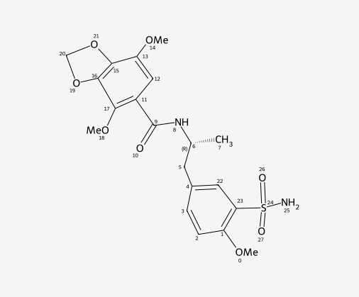 COc1ccc(C[C@@H](C)NC(=O)c2cc(OC)c3c(c2OC)OCO3)cc1S(N)(=O)=O